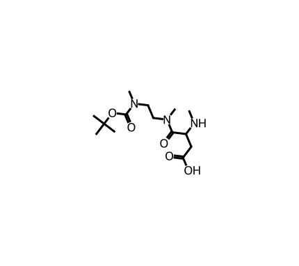 CNC(CC(=O)O)C(=O)N(C)CCN(C)C(=O)OC(C)(C)C